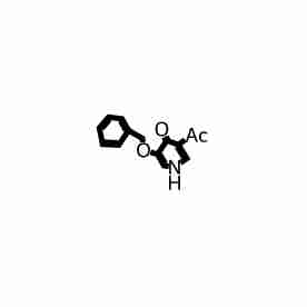 CC(=O)c1c[nH]cc(OCc2ccccc2)c1=O